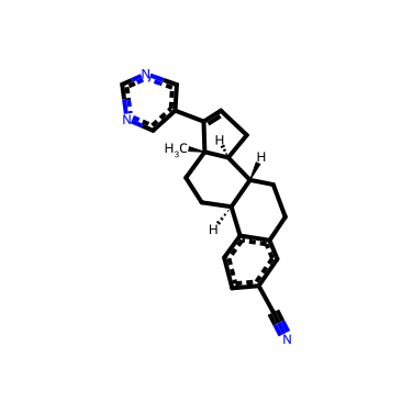 C[C@]12CC[C@@H]3c4ccc(C#N)cc4CC[C@H]3[C@@H]1CC=C2c1cncnc1